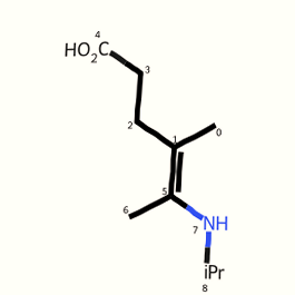 C/C(CCC(=O)O)=C(/C)NC(C)C